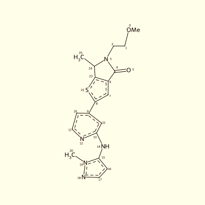 COCCN1C(=O)c2cc(-c3ccnc(Nc4ccnn4C)c3)sc2C1C